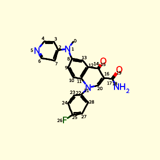 CN(c1ccncc1)c1ccc2c(c1)c(=O)c(C(N)=O)cn2-c1ccc(F)cc1